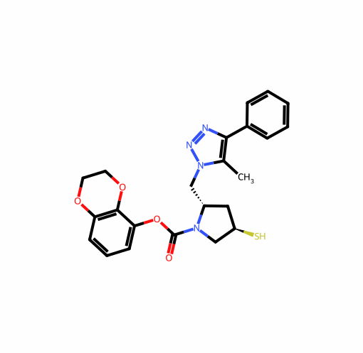 Cc1c(-c2ccccc2)nnn1C[C@@H]1C[C@@H](S)CN1C(=O)Oc1cccc2c1OCCO2